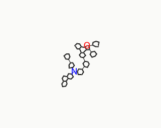 c1ccc(-c2ccc(N(c3cccc(-c4cccc(-c5ccc6c7ccccc7c7oc(-c8ccccc8)c(-c8ccccc8)c7c6c5)c4)c3)c3ccc4c(ccc5ccccc54)c3)cc2)cc1